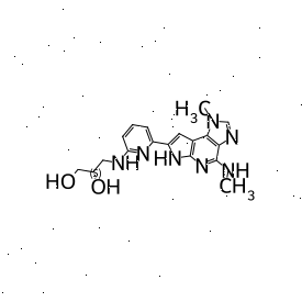 CNc1nc2[nH]c(-c3cccc(NC[C@H](O)CO)n3)cc2c2c1ncn2C